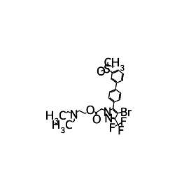 CCN(CC)CCOC(=O)Cn1nc(C(F)(F)F)c(Br)c1-c1ccc(-c2cccc([S+](C)[O-])c2)cc1